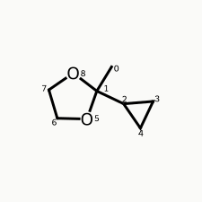 CC1(C2CC2)OCCO1